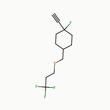 C#CC1(F)CCC(CSCCC(F)(F)F)CC1